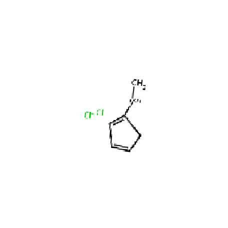 [CH3][V+2][C]1=CC=CC1.[Cl-].[Cl-]